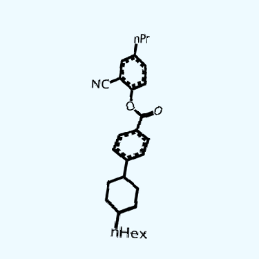 CCCCCCC1CCC(c2ccc(C(=O)Oc3ccc(CCC)cc3C#N)cc2)CC1